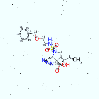 C=CCC1CN(S(=O)(=O)NCCOCc2ccccc2)CC1(N=[N+]=[N-])C(=O)O